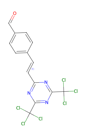 O=Cc1ccc(/C=C/c2nc(C(Cl)(Cl)Cl)nc(C(Cl)(Cl)Cl)n2)cc1